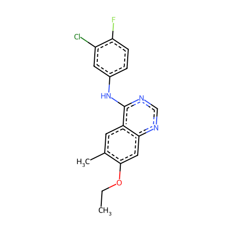 CCOc1cc2ncnc(Nc3ccc(F)c(Cl)c3)c2cc1C